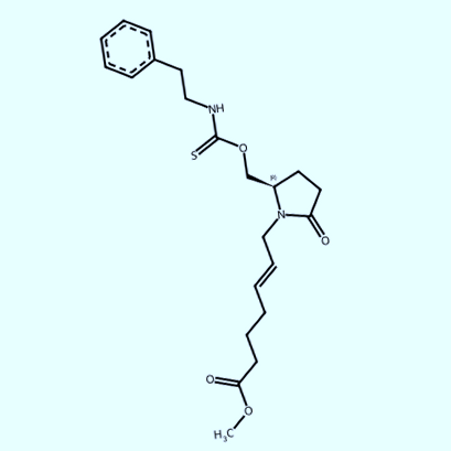 COC(=O)CCCC=CCN1C(=O)CC[C@@H]1COC(=S)NCCc1ccccc1